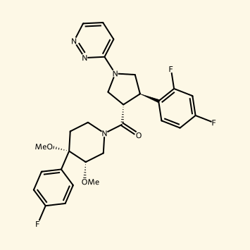 CO[C@H]1CN(C(=O)[C@@H]2CN(c3cccnn3)C[C@H]2c2ccc(F)cc2F)CC[C@]1(OC)c1ccc(F)cc1